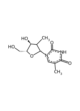 Cc1cn([C]2O[C@H](CO)[C@@H](O)C2C)c(=O)[nH]c1=O